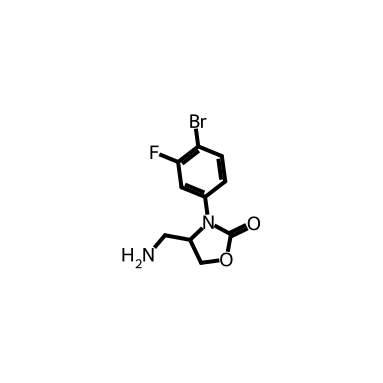 NCC1COC(=O)N1c1ccc(Br)c(F)c1